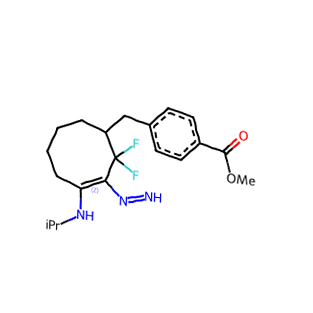 COC(=O)c1ccc(CC2CCCC/C(NC(C)C)=C(/N=N)C2(F)F)cc1